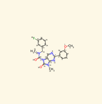 COc1cccc(-c2ncc3c(n2)n(C)c(=O)n3C(=O)N(C)Cc2cccc(F)c2)c1